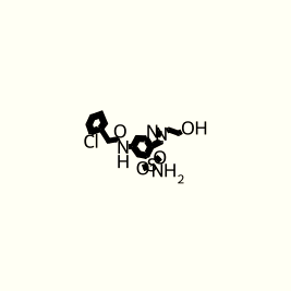 NS(=O)(=O)c1cc(NC(=O)Cc2ccccc2Cl)cc2nn(CCO)cc12